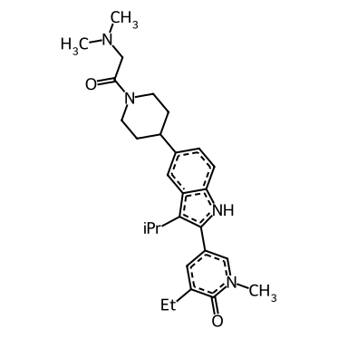 CCc1cc(-c2[nH]c3ccc(C4CCN(C(=O)CN(C)C)CC4)cc3c2C(C)C)cn(C)c1=O